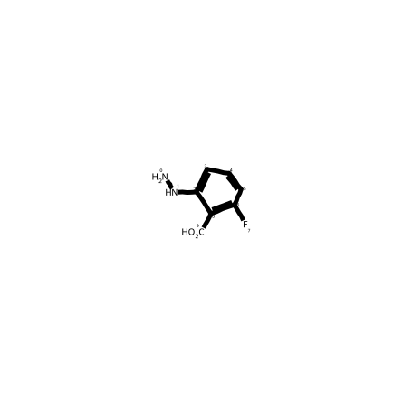 NNc1cccc(F)c1C(=O)O